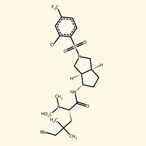 CN(C(=O)O)[C@@H](CC(C)(C)CC(C)(C)C)C(=O)N[C@H]1CC[C@@H]2CN(S(=O)(=O)c3ccc(C(F)(F)F)cc3Cl)C[C@@H]21